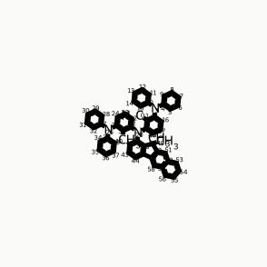 Cc1c(N(c2ccccc2)c2ccccc2)cccc1N(c1cccc(N(c2ccccc2)c2ccccc2)c1C)c1cccc2c1C(C)(C)c1cc3ccccc3cc1-2